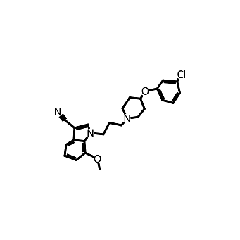 COc1cccc2c(C#N)cn(CCCN3CCC(Oc4cccc(Cl)c4)CC3)c12